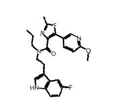 CCCN(CCc1c[nH]c2ccc(F)cc12)C(=O)c1nc(C)sc1-c1ccc(OC)nc1